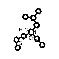 CC1=C(c2ccc(C3=CC=CC4c5ccccc5SC34)cc2)C(C)=C(C2C=CC(c3ccccc3)=CC2)N=C(c2cccc(C3C=C(c4ccccc4)C=C(c4ccccc4)C3)c2)C1